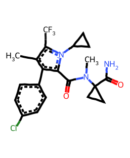 Cc1c(-c2ccc(Cl)cc2)c(C(=O)N(C)C2(C(N)=O)CC2)n(C2CC2)c1C(F)(F)F